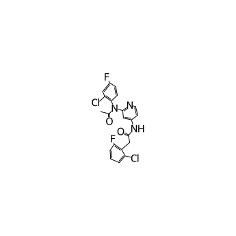 CC(=O)N(c1cc(NC(=O)Cc2c(F)cccc2Cl)ccn1)c1ccc(F)cc1Cl